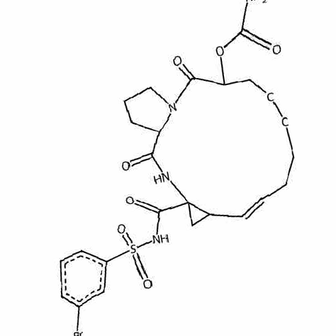 NC(=O)OC1CCCCC/C=C/C2CC2(C(=O)NS(=O)(=O)c2cccc(Br)c2)NC(=O)C2CCCN2C1=O